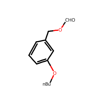 CCCCOc1cccc(COC=O)c1